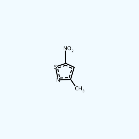 Cc1cc([N+](=O)[O-])sn1